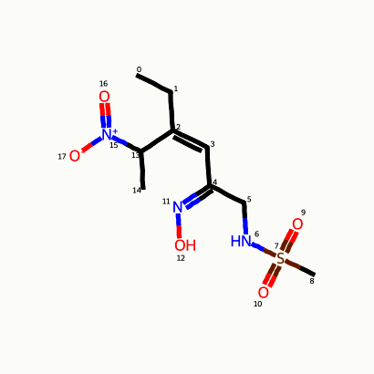 CCC(=CC(CNS(C)(=O)=O)=NO)C(C)[N+](=O)[O-]